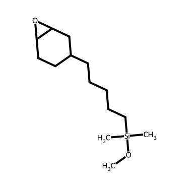 CO[Si](C)(C)CCCCCC1CCC2OC2C1